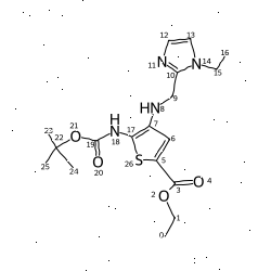 CCOC(=O)c1cc(NCc2nccn2CC)c(NC(=O)OC(C)(C)C)s1